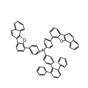 c1ccc(-c2cccc(-c3ccccc3)c2-c2ccc(N(c3ccc(-c4cccc5c4oc4c6ccccc6ccc54)cc3)c3ccc(-c4cccc5c4oc4c6ccccc6ccc54)cc3)cc2)cc1